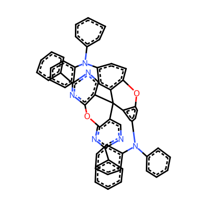 c1ccc(-c2ncc3c(n2)Oc2nc(-c4ccccc4)ncc2C32c3cc(N(c4ccccc4)c4ccccc4)ccc3Oc3ccc(N(c4ccccc4)c4ccccc4)cc32)cc1